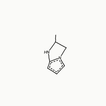 CC1Cn2cccc2N1